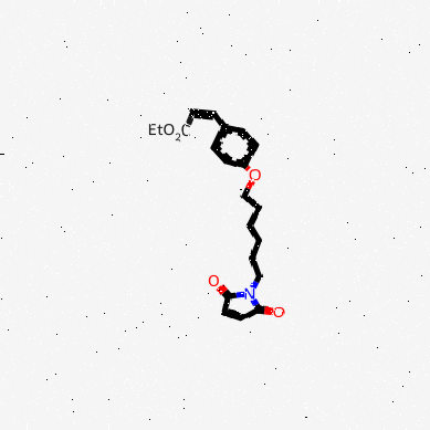 CCOC(=O)/C=C\c1ccc(OCCCCCCN2C(=O)C=CC2=O)cc1